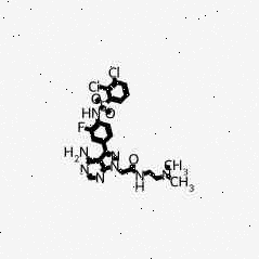 CN(C)CCNC(=O)Cn1nc(-c2ccc(NS(=O)(=O)c3cccc(Cl)c3Cl)c(F)c2)c2c(N)ncnc21